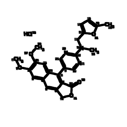 COc1cc2cc3c(c(-c4cnc(N(C)Cc5ccc(C)o5)nc4)c2cc1OC)C(=O)OC3.Cl